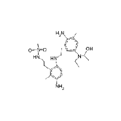 CCN(c1ccc(N)c(C)c1)C(C)O.CCNc1ccc(N)c(C)c1CCNS(C)(=O)=O